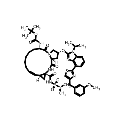 COc1cccc(Cc2csc(-c3cccc4c3nc(O[C@@H]3C[C@H]5C(=O)N[C@]6(C(=O)NS(=O)(=O)N(C)C)C[C@H]6/C=C\CCCCC[C@H](NC(=O)OC(C)(C)C)C(=O)N5C3)n4C(C)C)n2)c1